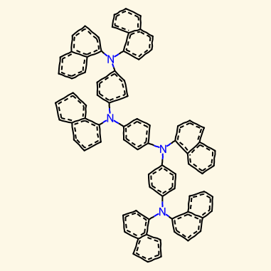 c1ccc2c(N(c3ccc(N(c4ccc(N(c5cccc6ccccc56)c5cccc6ccccc56)cc4)c4cccc5ccccc45)cc3)c3ccc(N(c4cccc5ccccc45)c4cccc5ccccc45)cc3)cccc2c1